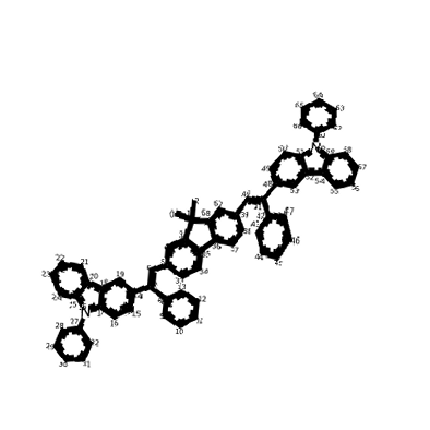 CC1(C)c2cc(/C=C(\c3ccccc3)c3ccc4c(c3)c3ccccc3n4-c3ccccc3)ccc2-c2ccc(/C=C(\c3ccccc3)c3ccc4c(c3)c3ccccc3n4-c3ccccc3)cc21